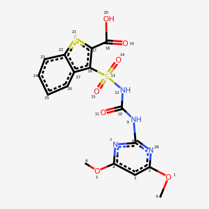 COc1cc(OC)nc(NC(=O)NS(=O)(=O)c2c(C(=O)O)sc3ccccc23)n1